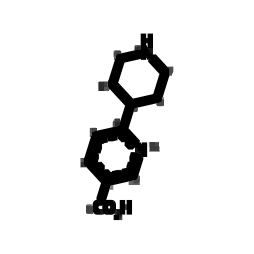 O=C(O)c1ccc(C2CCNCC2)nc1